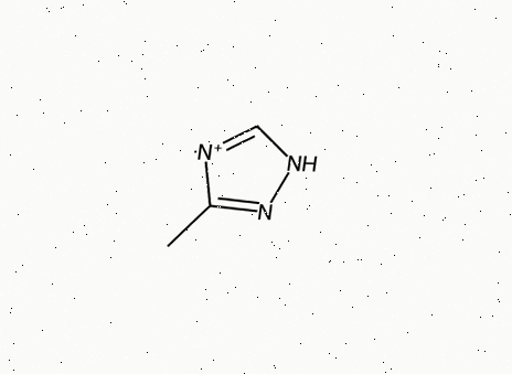 CC1=NNC=[N+]1